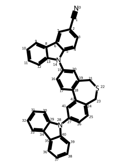 N#Cc1ccc2c(c1)c1ccccc1n2-c1ccc2c(c1)CSCc1ccc(-n3c4ccccc4c4ccccc43)cc1-2